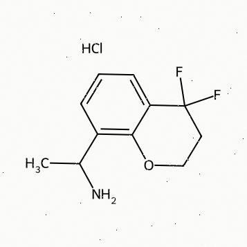 CC(N)c1cccc2c1OCCC2(F)F.Cl